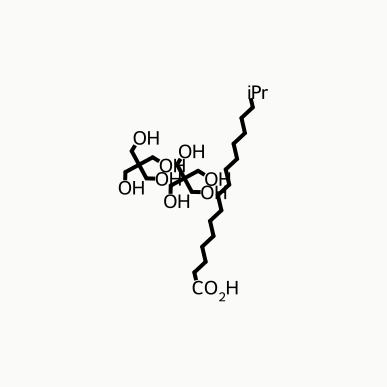 CC(C)CCCCCCCCCCCCCCC(=O)O.OCC(CO)(CO)CO.OCC(CO)(CO)CO